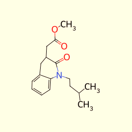 COC(=O)CC1Cc2ccccc2N(CCC(C)C)C1=O